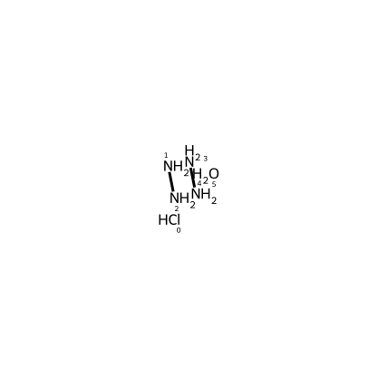 Cl.NN.NN.O